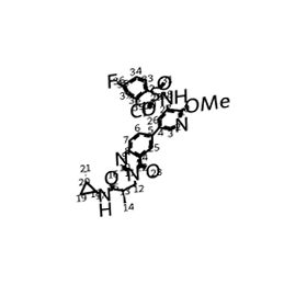 COc1ncc(-c2ccc3ncn(C[C@@H](C)C(=O)N[C@H]4C[C@@H]4C)c(=O)c3c2)cc1NS(=O)(=O)c1ccc(F)cc1Cl